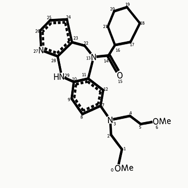 COCCN(CCOC)c1ccc2c(c1)N(C(=O)C1CCCCC1)Cc1cccnc1N2